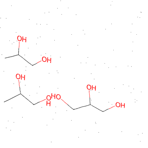 CC(O)CO.CC(O)CO.OCC(O)CO